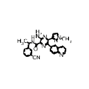 CC(NC(=O)c1nc(-c2ccc3ncccc3c2)c(-c2ccn(C)n2)nc1N)c1cccc(C#N)c1